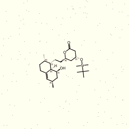 C[C@H]1C=C2CC[C@H](C)[C@H](CC[C@@H]3C[C@@H](O[Si](C)(C)C(C)(C)C)CC(=O)O3)[C@H]2[C@@H](O)C1